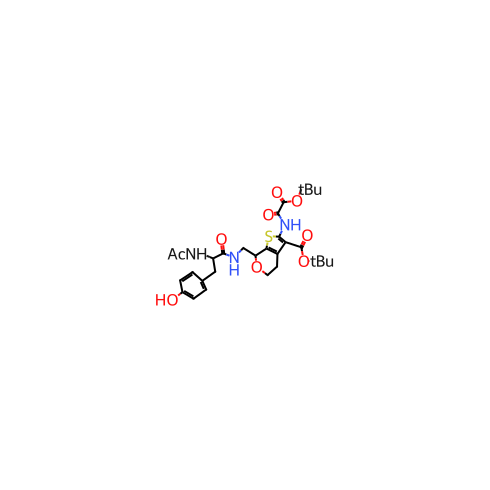 CC(=O)NC(Cc1ccc(O)cc1)C(=O)NCC1OCCc2c1sc(NC(=O)C(=O)OC(C)(C)C)c2C(=O)OC(C)(C)C